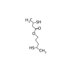 CC(S)CCCOC(=O)CC(C)S